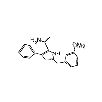 COc1cccc(Cc2cc(-c3ccccc3)c(C(C)N)[nH]2)c1